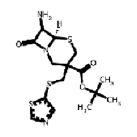 CC(C)(C)OC(=O)C1(CSc2cncs2)CS[C@@H]2C(N)C(=O)N2C1